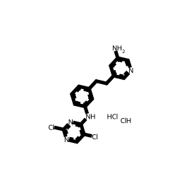 Cl.Cl.Nc1cncc(CCc2cccc(Nc3nc(Cl)ncc3Cl)c2)c1